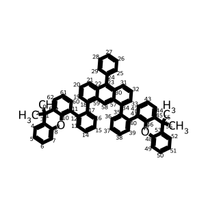 CC1(C)c2ccccc2Oc2c(-c3ccccc3-c3cccc4c(-c5ccccc5)c5cccc(-c6ccccc6-c6cccc7c6Oc6ccccc6C7(C)C)c5cc34)cccc21